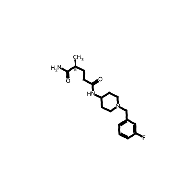 C[C@@H](C[CH]C(=O)NC1CCN(Cc2cccc(F)c2)CC1)C(N)=O